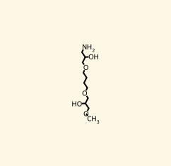 COCC(O)COCCCCOCC(O)CN